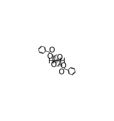 O=C(O[C@H]1CO[C@H]2[C@@H]1OC[C@@H]2OC(=O)c1ccccc1)c1ccccc1